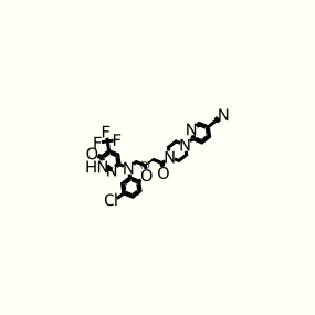 N#Cc1ccc(N2CCN(C(=O)C[C@@H]3CN(c4cc(C(F)(F)F)c(=O)[nH]n4)c4cc(Cl)ccc4O3)CC2)nc1